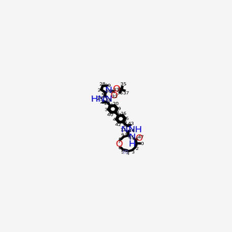 CC1CC/C=C\COCCC(c2nc(-c3ccc(-c4ccc(-c5c[nH]c(C6CCCN6C(=O)OC(C)(C)C)n5)cc4)cc3)c[nH]2)NC1=O